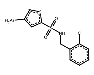 O=S(=O)(NCc1ccccc1Cl)c1cc([AsH2])[c]s1